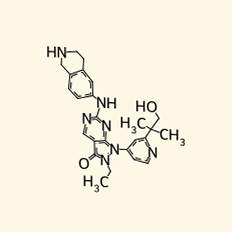 CCn1c(=O)c2cnc(Nc3ccc4c(c3)CCNC4)nc2n1-c1ccnc(C(C)(C)CO)c1